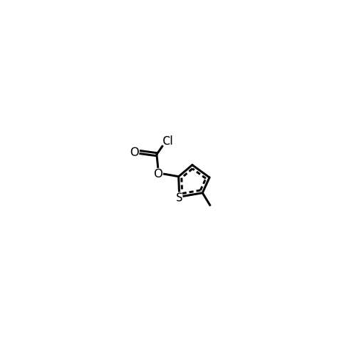 Cc1ccc(OC(=O)Cl)s1